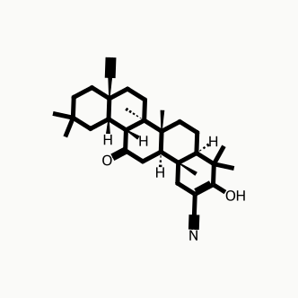 C#C[C@]12CCC(C)(C)C[C@H]1[C@H]1C(=O)C[C@@H]3[C@@]4(C)CC(C#N)=C(O)C(C)(C)[C@@H]4CC[C@@]3(C)[C@]1(C)CC2